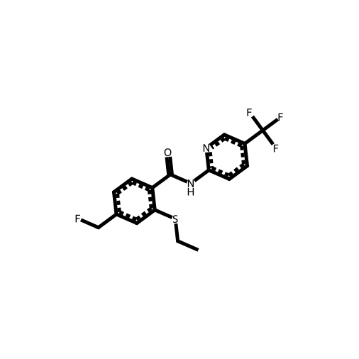 CCSc1cc(CF)ccc1C(=O)Nc1ccc(C(F)(F)F)cn1